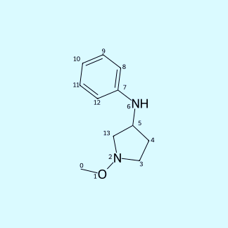 CON1CCC(Nc2ccccc2)C1